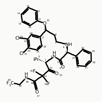 CC(C)[C@H](NC(=O)[C@@H](NCCC(Oc1ccccc1)c1ccc(Cl)c(Cl)c1)c1ccccc1)C(=O)C(F)(F)C(=O)NCC(F)(F)F